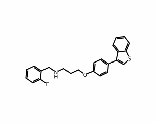 Fc1ccccc1CNCCCOc1ccc(-c2csc3ccccc23)cc1